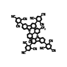 N#Cc1cc(C#N)c(-c2ccc3c(c2)c2cc(-c4c(C#N)cc(C#N)cc4C#N)ccc2n3-c2ccc(C#N)cc2-c2ccc(C(F)(F)F)cc2-n2c3ccc(-c4c(C#N)cc(C#N)cc4C#N)cc3c3cc(-c4c(C#N)cc(C#N)cc4C#N)ccc32)c(C#N)c1